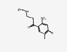 Cc1cc(C(=O)CCNC(C)C)c([N+](=O)[O-])cc1F